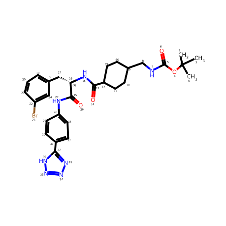 CC(C)(C)OC(=O)NCC1CCC(C(=O)N[C@@H](Cc2cccc(Br)c2)C(=O)Nc2ccc(-c3nnn[nH]3)cc2)CC1